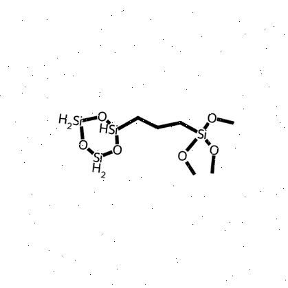 CO[Si](CCC[SiH]1O[SiH2]O[SiH2]O1)(OC)OC